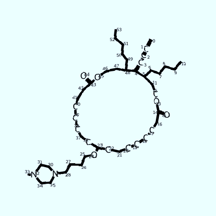 C=C=C=C=C1C(CCCCC)CCOC(=O)CCCCCCCC(OCCCCN2CCN(C)CC2)CCCCCCCC(=O)OCCC1CCCCC